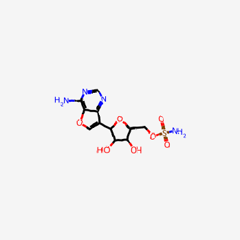 Nc1ncnc2c(C3OC(COS(N)(=O)=O)C(O)C3O)coc12